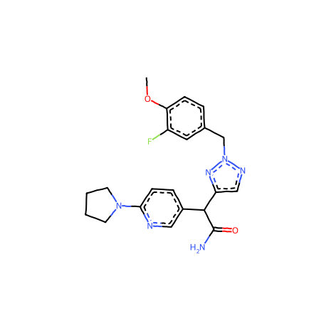 COc1ccc(Cn2ncc(C(C(N)=O)c3ccc(N4CCCC4)nc3)n2)cc1F